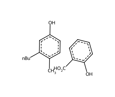 CCCCc1cc(O)ccc1C.O=C(O)c1ccccc1O